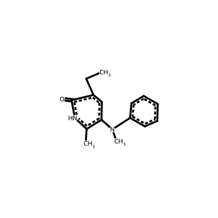 CCc1cc(N(C)c2ccccc2)c(C)[nH]c1=O